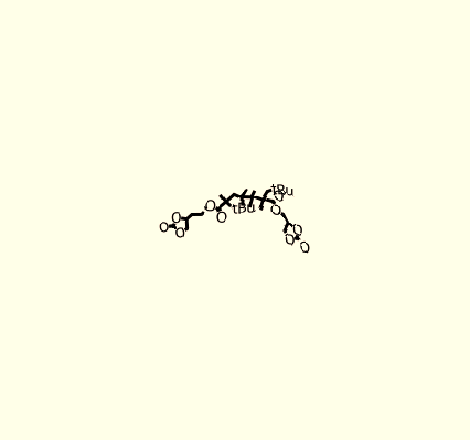 CC(C)(C)CC(C)(C(=O)OCC1COC(=O)O1)C(C)(C)C(C)(C)CC(C)(C(=O)OCCC1COC(=O)O1)C(C)(C)C